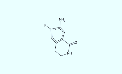 Nc1cc2c(cc1F)CCNC2=O